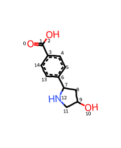 O=C(O)c1ccc(C2CC(O)CN2)cc1